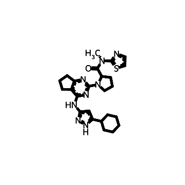 CN(C(=O)C1CCCN1c1nc2c(c(Nc3cc(C4CCCCC4)[nH]n3)n1)CCC2)c1nccs1